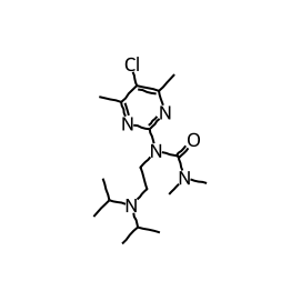 Cc1nc(N(CCN(C(C)C)C(C)C)C(=O)N(C)C)nc(C)c1Cl